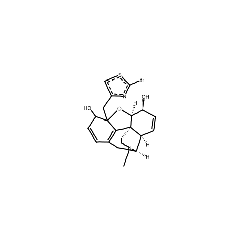 CN1CC[C@]23C4=C5C=CC(O)C4(Cc4csc(Br)n4)O[C@H]2[C@@H](O)C=C[C@H]3[C@H]1C5